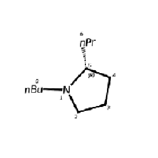 CCCCN1CCC[C@H]1CCC